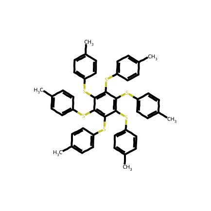 Cc1ccc(Sc2c(Sc3ccc(C)cc3)c(Sc3ccc(C)cc3)c(Sc3ccc(C)cc3)c(Sc3ccc(C)cc3)c2Sc2ccc(C)cc2)cc1